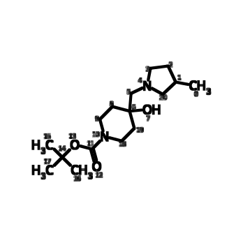 CC1CCN(CC2(O)CCN(C(=O)OC(C)(C)C)CC2)C1